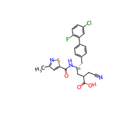 Cc1cc(C(=O)N[C@H](Cc2ccc(-c3cc(Cl)ccc3F)cc2)CC(CC#N)C(=O)O)sn1